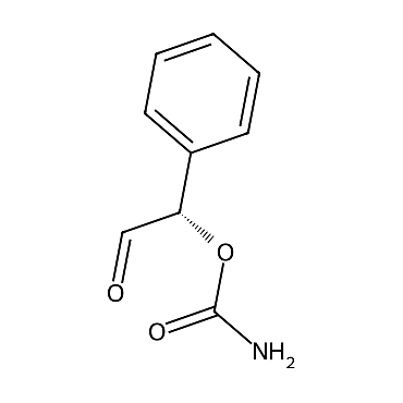 NC(=O)O[C@H](C=O)c1ccccc1